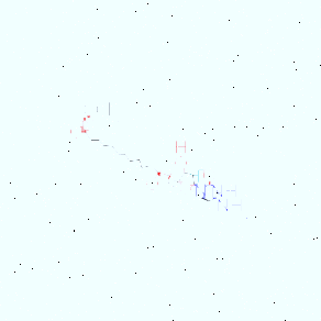 NC1C=CN(C2OC(COC(=O)CCCCCCCCCCC(=O)OCC(Cl)(Cl)Cl)C(O)C2(F)F)C(=O)N1